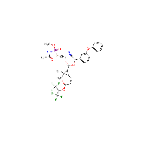 CC1(C)C(/C=C\C(=O)OC(C(F)(F)F)C(F)(F)F)C1C(=O)OC(C#N)c1cccc(Oc2ccccc2)c1.COP(=O)(NC(C)=O)SC